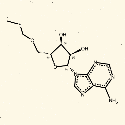 CSCOC[C@H]1O[C@@H](n2cnc3c(N)ncnc32)[C@H](O)[C@@H]1O